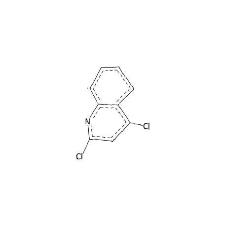 Clc1cc(Cl)c2ccc[c]c2n1